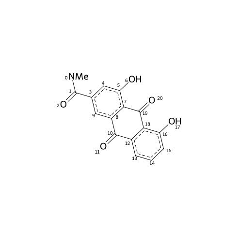 CNC(=O)c1cc(O)c2c(c1)C(=O)c1cccc(O)c1C2=O